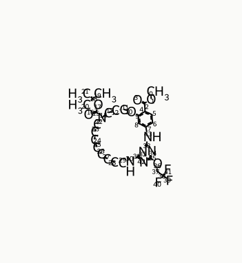 COC(=O)c1ccc2cc1OCCCN(C(=O)OC(C)(C)C)CCCCCCCCNc1nc(nc(OCC(F)(F)F)n1)N2